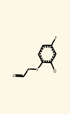 O=CCSc1ccc(F)cc1Cl